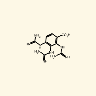 N=C(N)Nc1ccc(C(=O)O)c(NC(=N)N)c1NC(=N)N